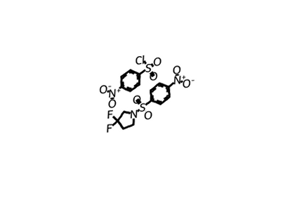 O=[N+]([O-])c1ccc(S(=O)(=O)Cl)cc1.O=[N+]([O-])c1ccc(S(=O)(=O)N2CCC(F)(F)C2)cc1